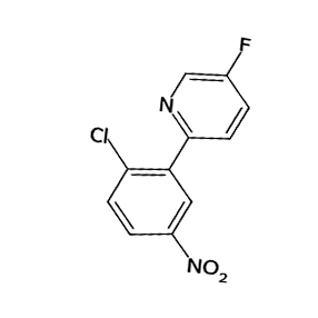 O=[N+]([O-])c1ccc(Cl)c(-c2ccc(F)cn2)c1